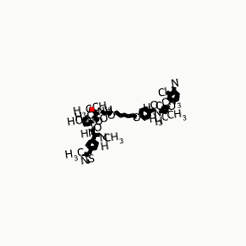 CNCC(NC(=O)[C@@H]1C[C@@H](O)CN1C(=O)C(NC(=O)COCCCCCOc1ccc(C(=O)N[C@H]2C(C)(C)[C@H](Oc3ccc(C#N)c(Cl)c3)C2(C)C)cc1)C(C)(C)C)c1ccc(-c2scnc2C)cc1